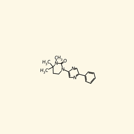 CN1C(=O)N(c2cnc(-c3ccccc3)cn2)CCC1(C)C